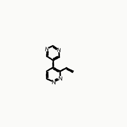 C=Cc1nnccc1-c1cncnc1